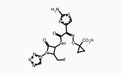 Nc1nc(C(=NOC2(C(=O)O)CC2)C(=O)NC2C(=O)N(n3cnnn3)C2CF)cs1